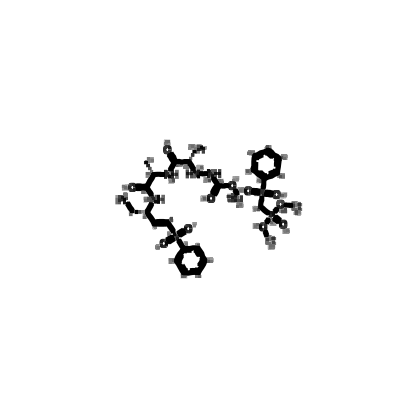 CC(C)C[C@@H](/C=C/S(=O)(=O)c1ccccc1)NC(=O)[C@H](C)NC(=O)[C@@H](NNC(=O)OC(C)(C)C)C(C)C.CCOP(=O)(CS(=O)(=O)c1ccccc1)OCC